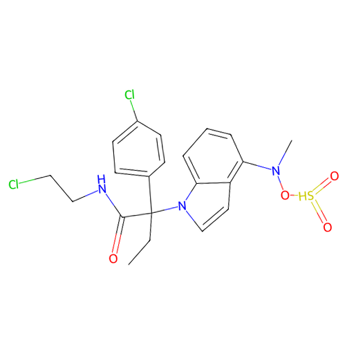 CCC(C(=O)NCCCl)(c1ccc(Cl)cc1)n1ccc2c(N(C)O[SH](=O)=O)cccc21